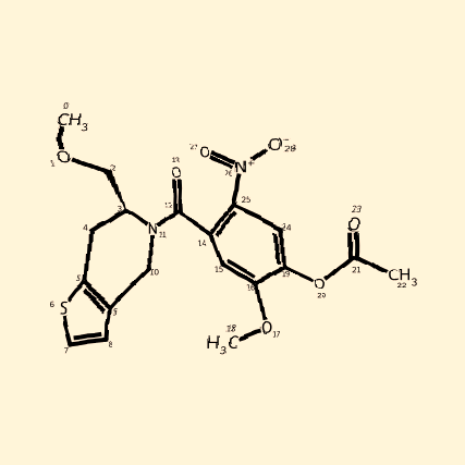 COC[C@@H]1Cc2sccc2CN1C(=O)c1cc(OC)c(OC(C)=O)cc1[N+](=O)[O-]